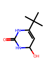 CC(C)(C)C1=CC(O)NC(=O)N1